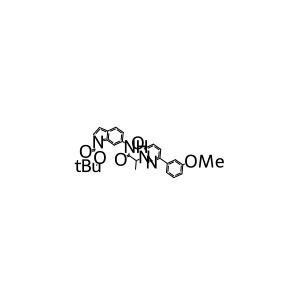 COc1cccc(-c2ccc(=O)n(C(C)C(=O)Nc3ccc4ccn(C(=O)OC(C)(C)C)c4c3)n2)c1